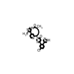 CC1CCCC(n2cnc(-c3cc(Cl)ccc3-c3cn[nH]c3)cc2=O)c2cc(ccn2)-c2c(cnn2C)NC1=O